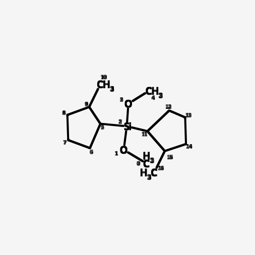 CO[Si](OC)(C1CCCC1C)C1CCCC1C